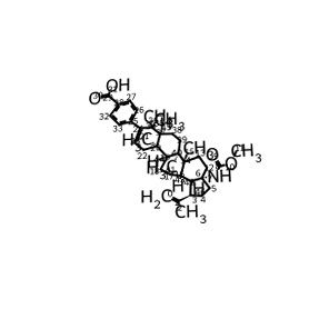 C=C(C)[C@@H]1CC[C@]2(NC(=O)OC)CC[C@]3(C)[C@H](CC[C@@H]4[C@@]5(C)CC=C(c6ccc(C(=O)O)cc6)C(C)(C)[C@@H]5CC[C@]43C)[C@@H]12